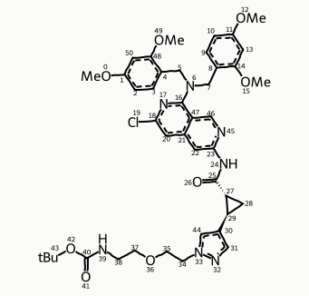 COc1ccc(CN(Cc2ccc(OC)cc2OC)c2nc(Cl)cc3cc(NC(=O)[C@@H]4C[C@H]4c4cnn(CCOCCNC(=O)OC(C)(C)C)c4)ncc23)c(OC)c1